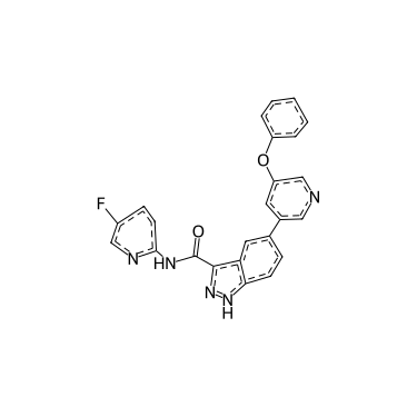 O=C(Nc1ccc(F)cn1)c1n[nH]c2ccc(-c3cncc(Oc4ccccc4)c3)cc12